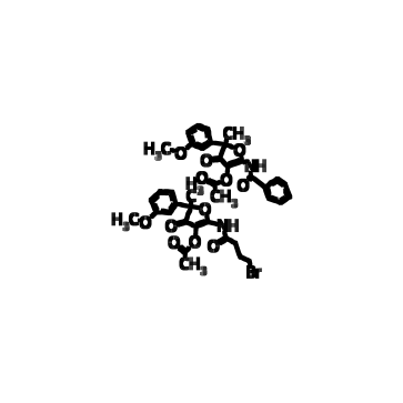 COc1cccc(C2(C)OC(NC(=O)CCCBr)=C(OC(C)=O)C2=O)c1.COc1cccc(C2(C)OC(NC(=O)c3ccccc3)=C(OC(C)=O)C2=O)c1